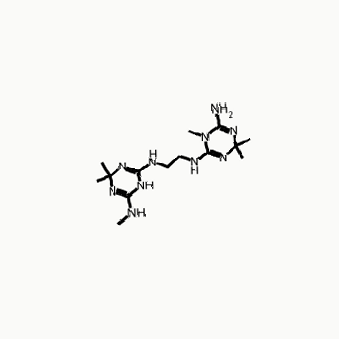 CNC1=NC(C)(C)N=C(NCCNC2=NC(C)(C)N=C(N)N2C)N1